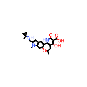 CC1Cc2c([nH]c(=O)c(C(=O)O)c2O)-c2cc3cc(CNC4(C)CC4)n(C)c3cc2O1